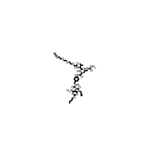 C#CCn1c(=O)n(C(=O)NCc2ccc(NC(=O)[C@H](CCCNC(N)=O)NC(=O)[C@@H](NC(=O)COCCOCCOCCN=[N+]=[N-])C(C)C)cc2)c2c(N)nc(OCCCC)nc21